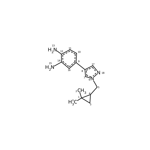 CC1(C)CC1Cn1cc(-c2ccc(N)c(N)c2)cn1